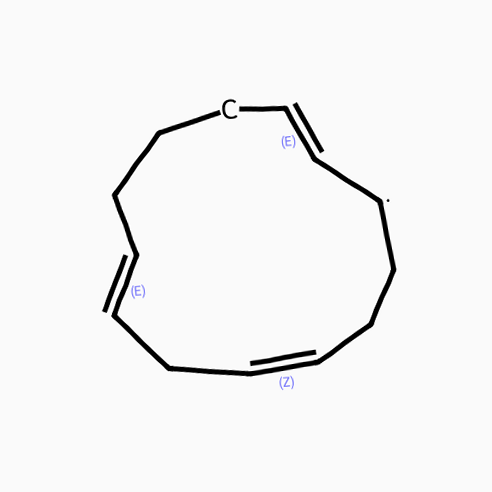 [CH]1/C=C/CCC/C=C/C/C=C\CC1